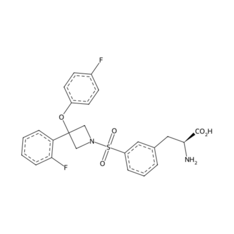 N[C@@H](Cc1cccc(S(=O)(=O)N2CC(Oc3ccc(F)cc3)(c3ccccc3F)C2)c1)C(=O)O